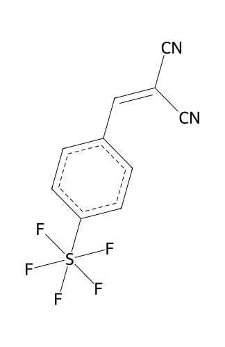 N#CC(C#N)=Cc1ccc(S(F)(F)(F)(F)F)cc1